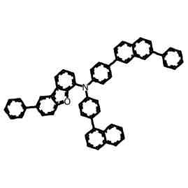 c1ccc(-c2ccc3ccc(-c4ccc(N(c5ccc(-c6cccc7ccccc67)cc5)c5cccc6c5oc5ccc(-c7ccccc7)cc56)cc4)cc3c2)cc1